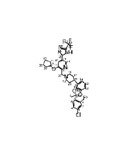 CC1(c2ccc(Cl)cc2F)Oc2cccc(C3CCN(Cc4ncc(-c5nnc(C(F)(F)F)[nH]5)cc4OC4CCCC4)CC3)c2O1